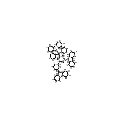 c1ccc([Si](c2ccccc2)(c2nc(-c3cccc(-n4c5ccccc5c5ccccc54)n3)nc(-n3c4ccccc4c4ccccc43)n2)n2c3ccccc3c3ccccc32)cc1